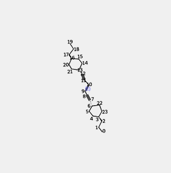 CCC[C@H]1CC[C@H](C#C/C=C/C#C[C@H]2CC[C@H](CCC)CC2)CC1